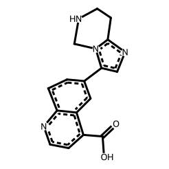 O=C(O)c1ccnc2ccc(-c3cnc4n3CNCC4)cc12